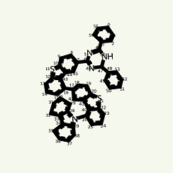 c1ccc(C2=NC(c3ccc4sc5cccc(-c6ccc7sc8cccc(-n9c%10ccccc%10c%10ccccc%109)c8c7c6)c5c4c3)=NC(c3ccccc3)N2)cc1